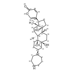 C[C@]12CC[C@H](N3CCCNCC3)C[C@@]1(O)CC[C@@H]1[C@@H]2CC[C@]2(C)[C@@H](c3ccc(=O)oc3)CC[C@]12O